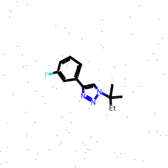 CCC(C)(C)n1cc(-c2cccc(F)c2)nn1